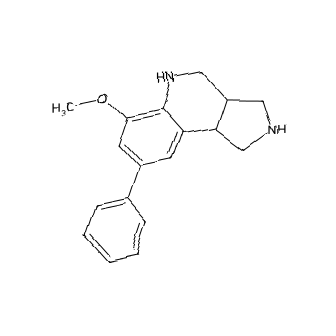 COc1cc(-c2ccccc2)cc2c1NCC1CNCC21